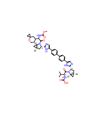 COC(=O)NC(C(=O)N1[C@@H]2C[C@@H]2C[C@H]1c1ncc(-c2ccc(-c3ccc(-c4cnc([C@@H]5C[C@H]6C[C@H]6N5C(=O)[C@@H](NC(=O)O)C(C)C)[nH]4)cc3)cc2)[nH]1)C1CCOC2(CC2)C1